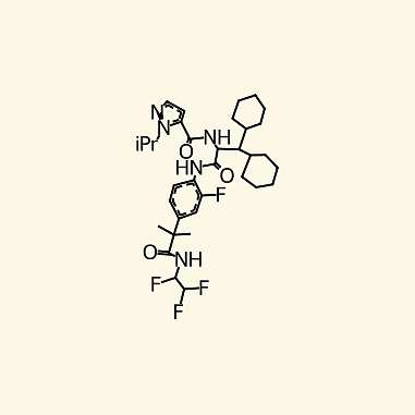 CC(C)n1nccc1C(=O)NC(C(=O)Nc1ccc(C(C)(C)C(=O)NC(F)C(F)F)cc1F)C(C1CCCCC1)C1CCCCC1